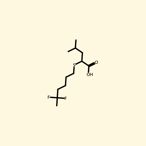 CC(C)CC(SCCCCC(C)(F)F)C(=O)O